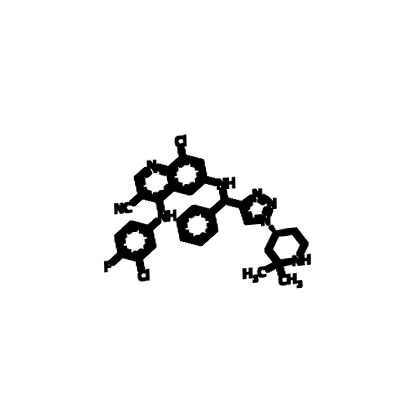 CC1(C)C[C@H](n2cc(C(Nc3cc(Cl)c4ncc(C#N)c(Nc5ccc(F)c(Cl)c5)c4c3)c3ccccc3)nn2)CCN1